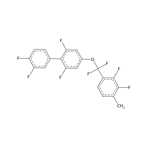 Cc1ccc(C(F)(F)Oc2cc(F)c(-c3ccc(F)c(F)c3)c(F)c2)c(F)c1F